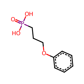 O=P(O)(O)CCCOc1ccccc1